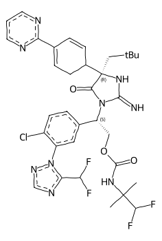 CC(C)(C)C[C@]1(C2C=CC(c3ncccn3)=CC2)NC(=N)N([C@H](COC(=O)NC(C)(C)C(F)F)c2ccc(Cl)c(-n3ncnc3C(F)F)c2)C1=O